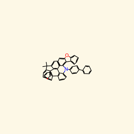 CC1(C)c2ccccc2-c2c(-c3c(-c4ccccc4)cccc3N(c3ccc(-c4ccccc4)cc3)c3cccc4oc5ccccc5c34)cccc21